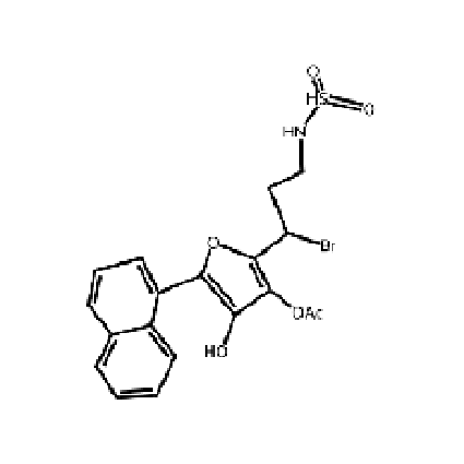 CC(=O)Oc1c(C(Br)CCN[SH](=O)=O)oc(-c2cccc3ccccc23)c1O